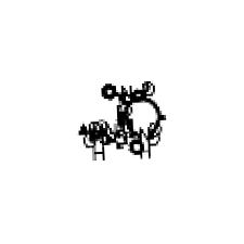 C=C[C@@H]1C[C@]1(NC(=O)[C@@H]1C[C@@H]2CN1C(=O)[C@H](C1CCCCC1)NC(=O)OCC(C)CCCc1cc3c(cc(-c4ccccc4)nc3cc1OC)O2)C(=O)NS(=O)(=O)C1CC1